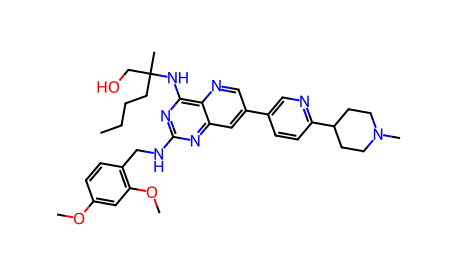 CCCCC(C)(CO)Nc1nc(NCc2ccc(OC)cc2OC)nc2cc(-c3ccc(C4CCN(C)CC4)nc3)cnc12